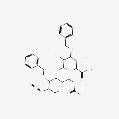 CC(=O)OCC1OCC(N=[N+]=[N-])C(OCc2ccccc2)[C@@H]1OC1OC(C(=O)O)[C@@H](O)C(OCc2ccccc2)C1O